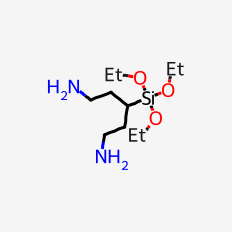 CCO[Si](OCC)(OCC)C(CCN)CCN